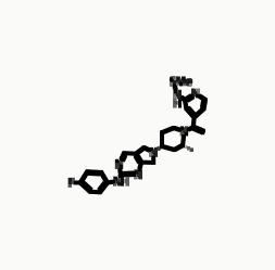 C=C(c1ccnc(NSC)c1)N1CC[C@@H](N2Cc3cnc(Nc4ccc(F)cc4)nc3C2)C[C@H]1C